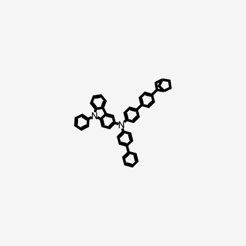 c1ccc(-c2ccc(N(c3ccc(-c4ccc(C5CC6CCC5C6)cc4)cc3)c3ccc4c(c3)c3ccccc3n4-c3ccccc3)cc2)cc1